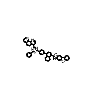 c1ccc(-c2nc(-c3ccc(-c4ccc(-c5nc6cc7oc8ccccc8c7cc6o5)c5ccccc45)cc3)nc(-c3ccnc4c3ccc3cccnc34)n2)cc1